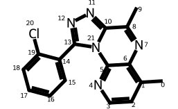 Cc1ccnc2c1nc(C)c1nnc(-c3ccccc3Cl)n12